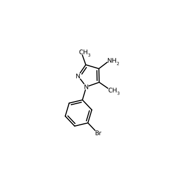 Cc1nn(-c2cccc(Br)c2)c(C)c1N